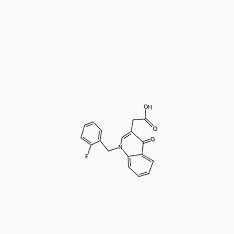 O=C(O)Cc1cn(Cc2ccccc2F)c2ccccc2c1=O